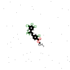 CCOC(=O)c1ccc(CC=C(c2cc(Cl)c(Cl)c(Cl)c2)C(F)(F)F)cc1Cl